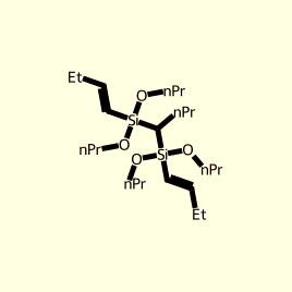 CCC=C[Si](OCCC)(OCCC)C(CCC)[Si](C=CCC)(OCCC)OCCC